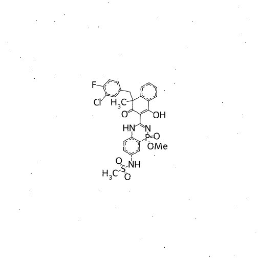 COP1(=O)N=C(C2=C(O)c3ccccc3C(C)(Cc3ccc(F)c(Cl)c3)C2=O)Nc2ccc(NS(C)(=O)=O)cc21